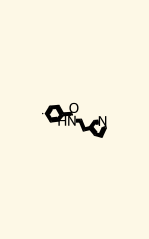 O=C(NCCc1cccnc1)c1cc[c]cc1